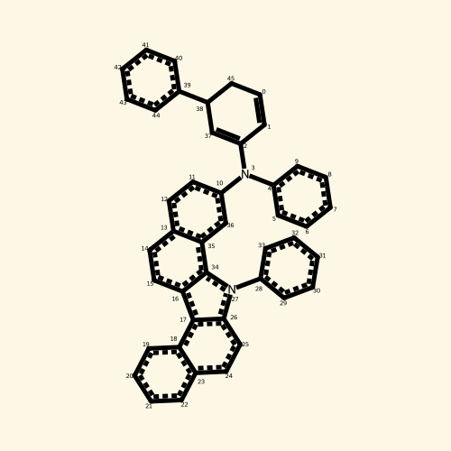 C1=CC(N(c2ccccc2)c2ccc3ccc4c5c6ccccc6ccc5n(-c5ccccc5)c4c3c2)=CC(c2ccccc2)C1